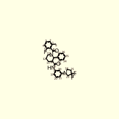 Cc1cccc(F)c1C(=O)N1CCC[C@H](C(=O)Nc2cccc(N3CCC(F)(F)C3)c2)C1c1ccccc1